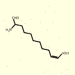 CCCCCCCC/C=C\CCCCCCCC(N)C=O